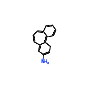 NC1=CCC2=c3ccccc3=CC=CC2=C1